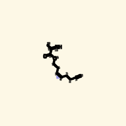 C#CCC/C=C\CCOC(=O)C(C)=N